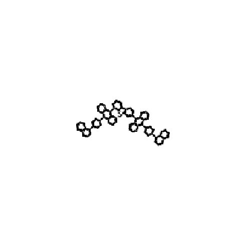 c1ccc2c(-c3ccc(-c4c5ccccc5c(-c5ccc6c(c5)sc5c(-c7c8ccccc8c(-c8ccc(-c9cccc%10ccccc9%10)cc8)c8ccccc78)cccc56)c5ccccc45)cc3)cccc2c1